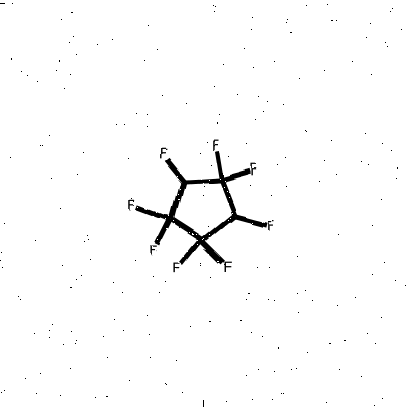 F[C]1C(F)(F)C(F)C(F)(F)C1(F)F